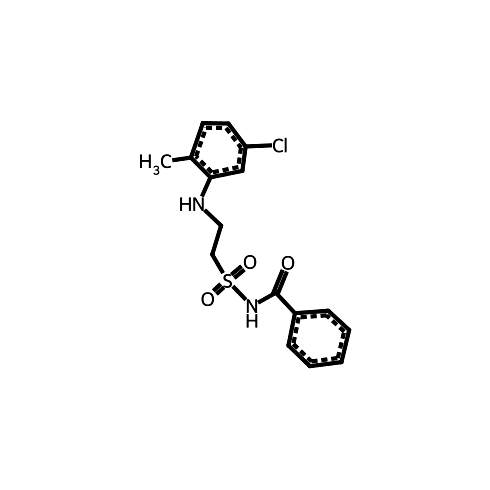 Cc1ccc(Cl)cc1NCCS(=O)(=O)NC(=O)c1ccccc1